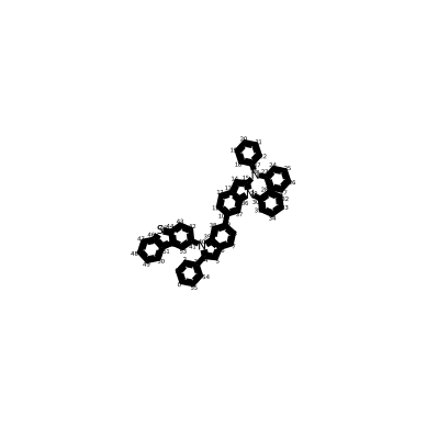 c1ccc(-c2cc3ccc(-c4ccc5cc(N(c6ccccc6)c6ccccc6)n(-c6ccccc6)c5c4)cc3n2-c2ccc3sc4ccccc4c3c2)cc1